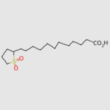 O=C(O)CCCCCCCCCCCC1CCCS1(=O)=O